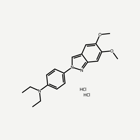 CCN(CC)c1ccc(-n2cc3cc(OC)c(OC)cc3n2)cc1.Cl.Cl